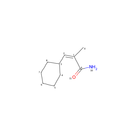 CC(=CC1CCCCC1)C(N)=O